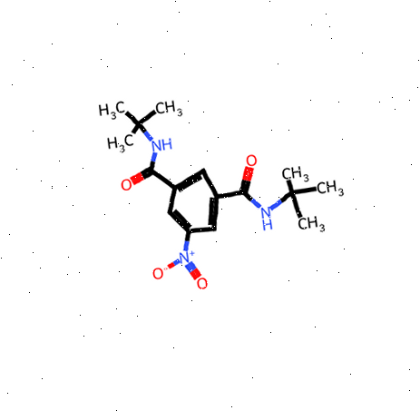 CC(C)(C)NC(=O)c1cc(C(=O)NC(C)(C)C)cc([N+](=O)[O-])c1